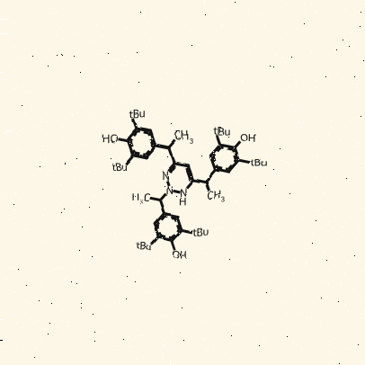 CC(C1=CC(C(C)c2cc(C(C)(C)C)c(O)c(C(C)(C)C)c2)=NN(C(C)c2cc(C(C)(C)C)c(O)c(C(C)(C)C)c2)N1)c1cc(C(C)(C)C)c(O)c(C(C)(C)C)c1